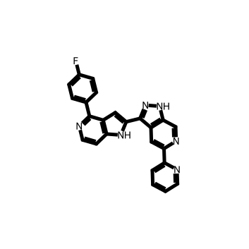 Fc1ccc(-c2nccc3[nH]c(-c4n[nH]c5cnc(-c6ccccn6)cc45)cc23)cc1